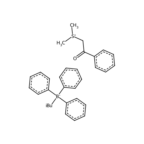 CCC(C)[B-](c1ccccc1)(c1ccccc1)c1ccccc1.C[S+](C)CC(=O)c1ccccc1